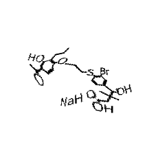 CCCc1c(OCCCSc2ccc(C(O)C(C)(C)CC(=O)O)cc2Br)ccc(C(C)=O)c1O.[NaH]